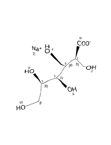 O=C([O-])[C@@H](O)[C@H](O)[C@@H](O)[C@H](O)CO.[Na+]